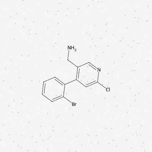 NCc1cnc(Cl)cc1-c1ccccc1Br